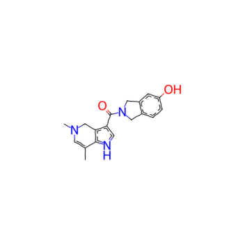 CC1=CN(C)Cc2c(C(=O)N3Cc4ccc(O)cc4C3)c[nH]c21